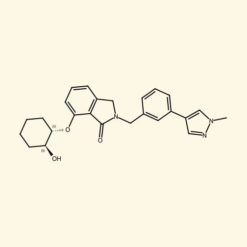 Cn1cc(-c2cccc(CN3Cc4cccc(O[C@H]5CCCC[C@@H]5O)c4C3=O)c2)cn1